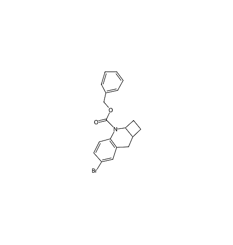 O=C(OCc1ccccc1)N1c2ccc(Br)cc2CC2CCC21